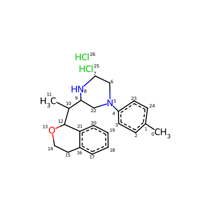 Cc1ccc(N2CCNC(C(C)C3OCCc4ccccc43)C2)cc1.Cl.Cl